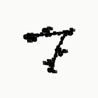 CCC(C)c1ccccc1OP(OCCOCCOCCOP(OCCOCCOCCOP(Oc1ccccc1C(C)CC)Oc1ccccc1C(C)CC)Oc1ccccc1C(C)CC)OCCOCCOCCOP(OCCOCCOCCOP(Oc1ccccc1C(C)CC)Oc1ccccc1C(C)CC)Oc1ccccc1C(C)CC